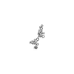 COc1ccc(C(F)(F)C(=O)N[C@H](C(=O)NCc2ccc(/C=C(/NC(=O)c3cnns3)C(=O)N3CCN(C)CC3)cc2)C2CCCCC2)cn1